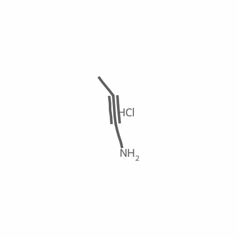 CC#CN.Cl